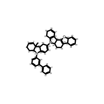 CC12C=CCCC1N(c1cccc(-c3ccccc3)c1)C1=CC=C(N3C4=C(C=CCC4)C4C5=C(CCC43)C3C=CC=CC3O5)CC12